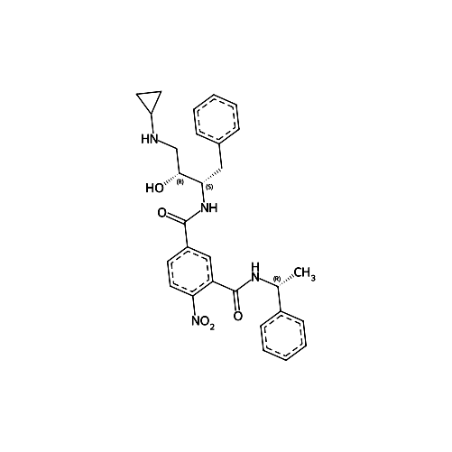 C[C@@H](NC(=O)c1cc(C(=O)N[C@@H](Cc2ccccc2)[C@H](O)CNC2CC2)ccc1[N+](=O)[O-])c1ccccc1